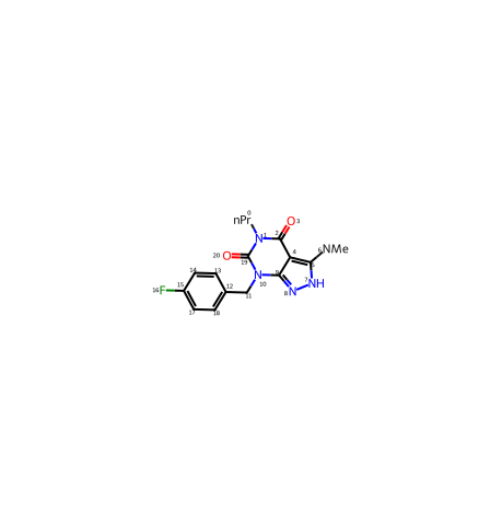 CCCn1c(=O)c2c(NC)[nH]nc2n(Cc2ccc(F)cc2)c1=O